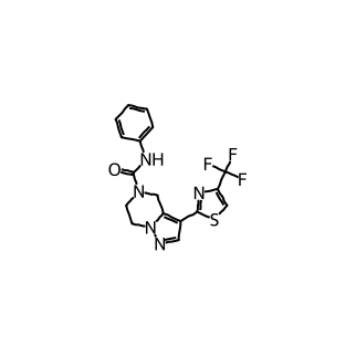 O=C(Nc1ccccc1)N1CCn2ncc(-c3nc(C(F)(F)F)cs3)c2C1